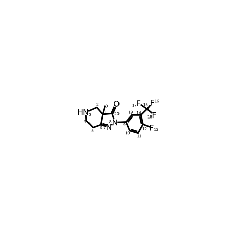 CC12CNCCC1=NN(c1ccc(F)c(C(F)(F)F)c1)C2=O